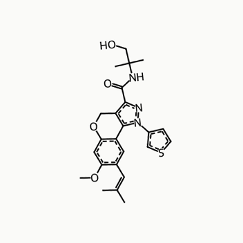 COc1cc2c(cc1C=C(C)C)-c1c(c(C(=O)NC(C)(C)CO)nn1-c1ccsc1)CO2